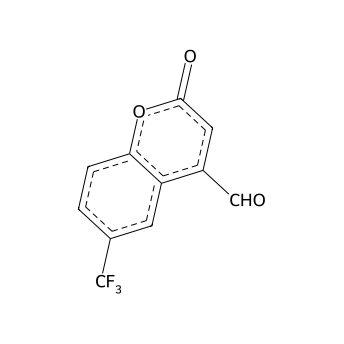 O=Cc1cc(=O)oc2ccc(C(F)(F)F)cc12